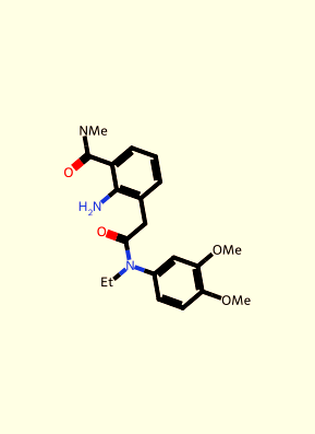 CCN(C(=O)Cc1cccc(C(=O)NC)c1N)c1ccc(OC)c(OC)c1